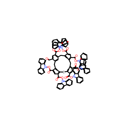 O=Cc1cc(C(=O)On2c3ccccc3c3ccccc32)c2cc1Cc1cc(c(C(=O)On3c4ccccc4c4ccccc43)cc1C(=O)On1c3ccccc3c3ccccc31)Cc1cc(c(C(=O)On3c4ccccc4c4ccccc43)cc1C(=O)On1c3ccccc3c3ccccc31)Cc1cc(c(C(=O)On3c4ccccc4c4ccccc43)cc1C(=O)On1c3ccccc3c3ccccc31)C2